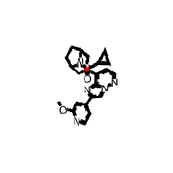 COc1cc(-c2cn3nccc(N4CC5CCC(C4)N5C(=O)C4CC4)c3n2)ccn1